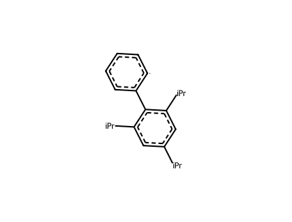 CC(C)c1cc(C(C)C)c(-c2[c]cccc2)c(C(C)C)c1